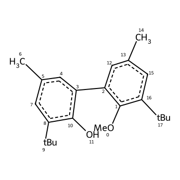 COc1c(-c2cc(C)cc(C(C)(C)C)c2O)cc(C)cc1C(C)(C)C